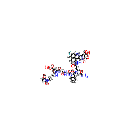 CC[C@@]1(O)C(=O)OCc2c1cc1n(c2=O)Cc2c-1nc1cc(F)c(C)c3c1c2[C@@H](NC(=O)CCCN(CC(N)=O)C(=O)[C@H](Cc1ccccc1)NC(=O)CNC(=O)CNC(=O)[C@H](CCC(=O)O)NC(=O)CCCCCN1C(=O)C=CC1=O)CC3